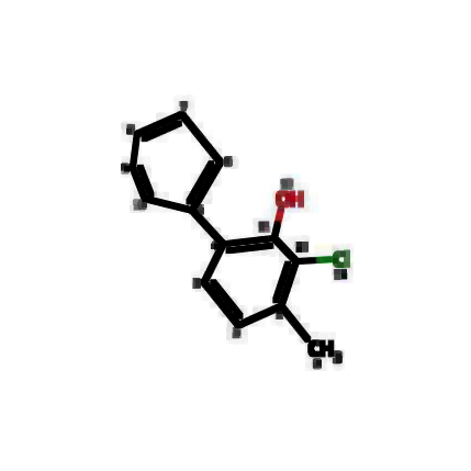 Cc1ccc(-c2ccccc2)c(O)c1Cl